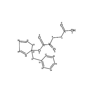 O=C(O)CCC(=O)C(=O)OC1(Cc2ccccc2)C=CC=CC1